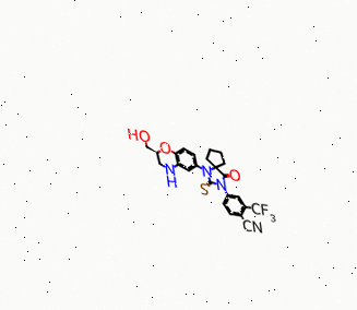 N#Cc1ccc(N2C(=O)C3(CCCC3)N(c3ccc4c(c3)NC[C@@H](CO)O4)C2=S)cc1C(F)(F)F